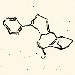 Clc1nn2c(-c3cnccn3)nnc2c2c1C1CCC2CC1